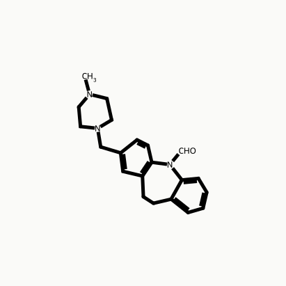 CN1CCN(Cc2ccc3c(c2)CCc2ccccc2N3C=O)CC1